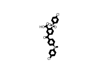 CN(c1ccc(Cl)cc1)c1ccc(C(=O)c2ccc(S(=O)(=O)c3ccc(Cl)cc3)c(C(=O)O)c2)cc1